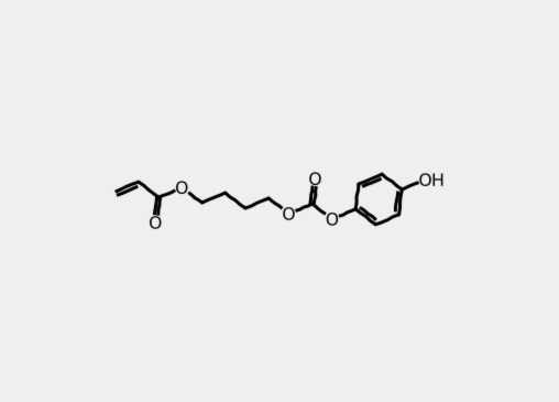 C=CC(=O)OCCCCOC(=O)Oc1ccc(O)cc1